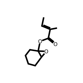 CC=C(C)C(=O)OC12CCCCC1O2